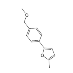 COCc1ccc(-c2ccc(C)o2)cc1